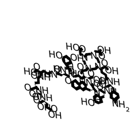 Nc1ccc(C[C@H](NC(=O)CCC(C(=O)O)N2CCN(CC(=O)O)CCN(CC(=O)O)CCN(CC(=O)O)CC2)C(=O)N[C@H](Cc2ccc(O)cc2)C(=O)N[C@H](Cc2ccc3ccccc3c2)C(=O)N[C@H](CCCCNC(=O)[C@@H](CC(=O)NCCCC(NC(=O)CC[C@H](NC(=O)N[C@@H](CCC(=O)O)C(=O)O)C(=O)O)C(=O)O)NC(=O)c2cc(O)cc(O)c2)C(=O)O)cc1